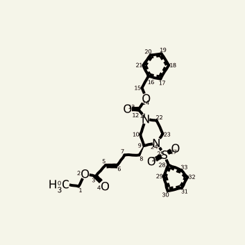 CCOC(=O)/C=C/CC[C@H]1CN(C(=O)OCc2ccccc2)CCN1S(=O)(=O)c1ccccc1